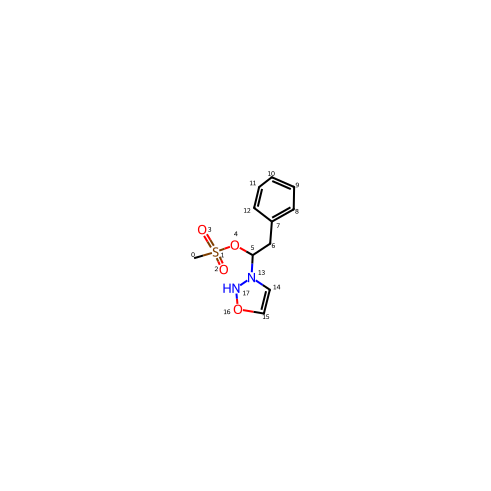 CS(=O)(=O)OC(Cc1ccccc1)N1C=CON1